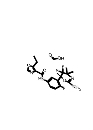 CCc1ocnc1C(=O)Nc1ccc(F)c([C@@]2(C)OC(N)=NC(C)(C)C2(F)F)c1.O=CO